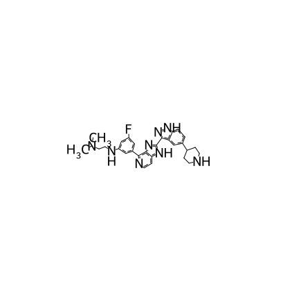 CN(C)CCNc1cc(F)cc(-c2nccc3[nH]c(-c4n[nH]c5ccc(C6CCNCC6)cc45)nc23)c1